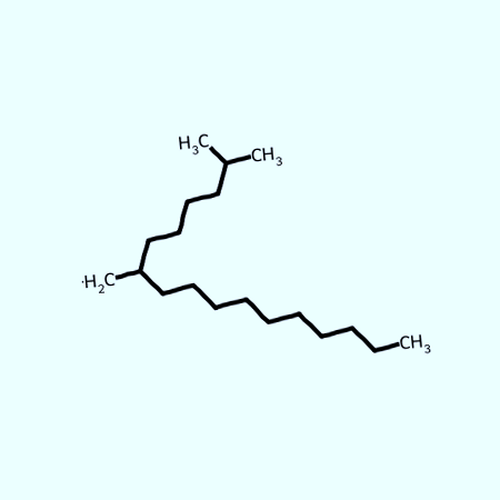 [CH2]C(CCCCCCCCCC)CCCCC(C)C